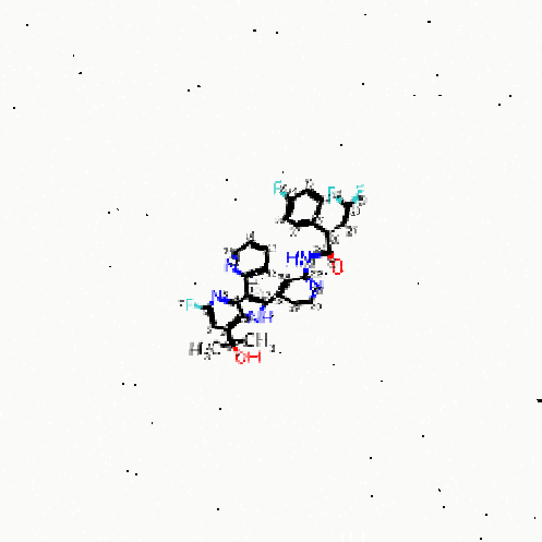 CC(C)(O)c1cc(F)nc2c(-c3ccccn3)c(-c3ccnc(NC(=O)[C@H](CC(F)F)c4ccc(F)cc4)c3)[nH]c12